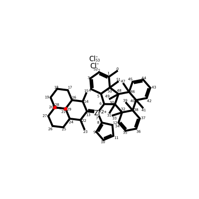 CC1=CC=CC2[CH]([Zr+2]([C]3=CC=CC3)=[C](C(C)C3CCCCC3)C(C)C3CCCCC3)C3(C)C4(C)C=CC=CC4(C)C4(C)C=CC=CC4(C)C3(C)C12C.[Cl-].[Cl-]